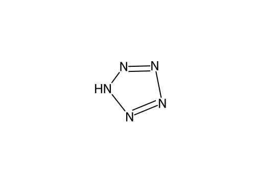 n1nn[nH]n1